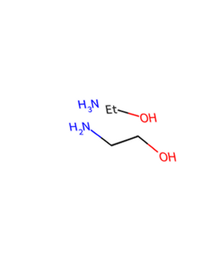 CCO.N.NCCO